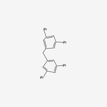 CC(C)c1[c]c(Cc2[c]c(C(C)C)cc(C(C)C)c2)cc(C(C)C)c1